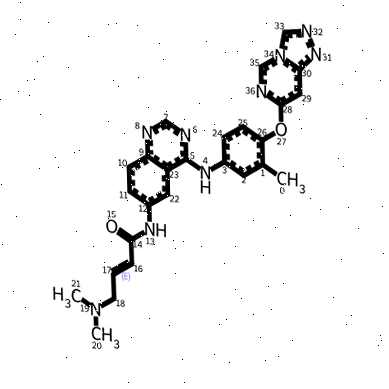 Cc1cc(Nc2ncnc3ccc(NC(=O)/C=C/CN(C)C)cc23)ccc1Oc1cc2nncn2cn1